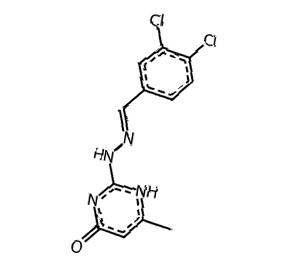 Cc1cc(=O)nc(NN=Cc2ccc(Cl)c(Cl)c2)[nH]1